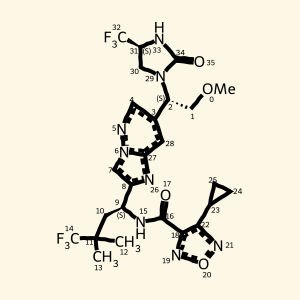 COC[C@H](c1cnn2cc([C@H](CC(C)(C)C(F)(F)F)NC(=O)c3nonc3C3CC3)nc2c1)N1C[C@@H](C(F)(F)F)NC1=O